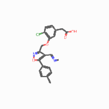 C/N=C/c1c(COc2cc(CC(=O)O)ccc2Cl)noc1-c1ccc(C)cc1